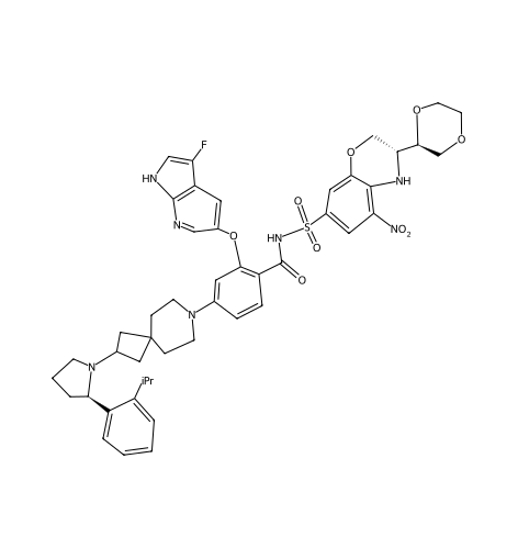 CC(C)c1ccccc1[C@H]1CCCN1C1CC2(CCN(c3ccc(C(=O)NS(=O)(=O)c4cc5c(c([N+](=O)[O-])c4)N[C@@H]([C@@H]4COCCO4)CO5)c(Oc4cnc5[nH]cc(F)c5c4)c3)CC2)C1